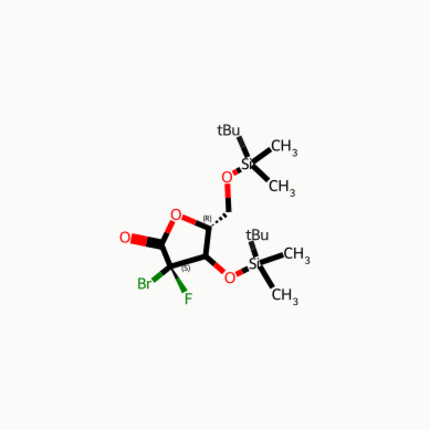 CC(C)(C)[Si](C)(C)OC[C@H]1OC(=O)[C@@](F)(Br)C1O[Si](C)(C)C(C)(C)C